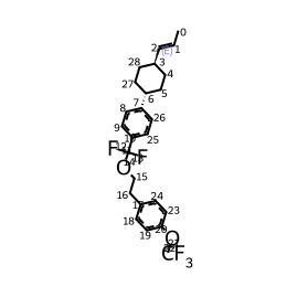 C/C=C/[C@H]1CC[C@H](c2ccc(C(F)(F)OCCc3ccc(OC(F)(F)F)cc3)cc2)CC1